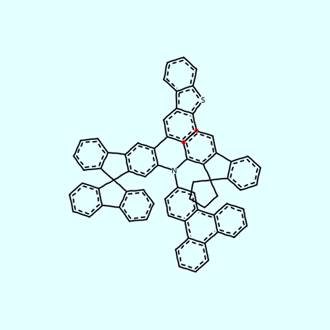 c1ccc2c(c1)-c1cccc(N(c3ccc4c5ccccc5c5ccccc5c4c3)c3cc4c(cc3-c3ccc5sc6ccccc6c5c3)-c3ccccc3C43c4ccccc4-c4ccccc43)c1C21CCCC1